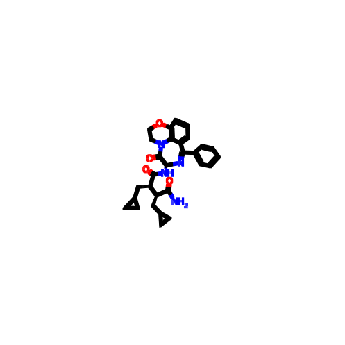 NC(=O)[C@@H](CC1CC1)[C@@H](CC1CC1)C(=O)N[C@H]1N=C(c2ccccc2)c2cccc3c2N(CCO3)C1=O